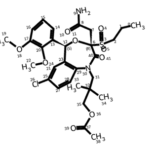 CCCS(=O)(=O)[C@@]1(CC(N)=O)O[C@H](c2cccc(OC)c2OC)c2cc(Cl)ccc2N(CC(C)(C)COC(C)=O)C1=O